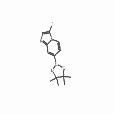 CC1(C)OB(c2ccn3c(F)cnc3c2)OC1(C)C